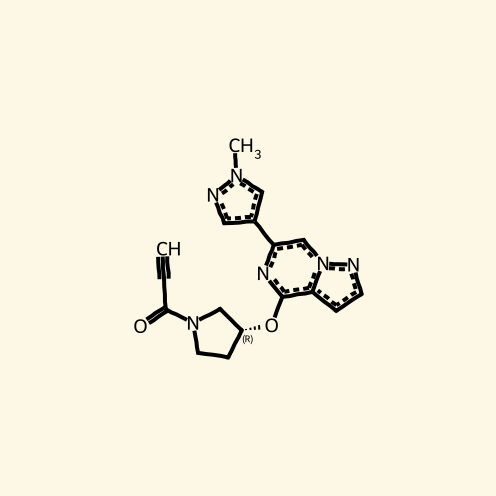 C#CC(=O)N1CC[C@@H](Oc2nc(-c3cnn(C)c3)cn3nccc23)C1